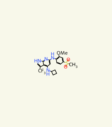 COc1cc(S(C)(=O)=O)ccc1Nc1cc(NC2CCC2)c2c(C(F)(F)F)c[nH]c2n1